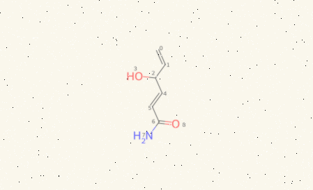 C=CC(O)C=CC(N)=O